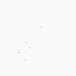 CCn1c(C#N)cc2c1CCN(CC[C@H]1CC[C@H](NC(=O)c3cccc4ncccc34)CC1)C2